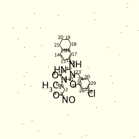 C[C@@H](CC(=O)N=O)N1C(=O)NC(Nc2ccc3c(c2)CCCC3)N(Cc2ccc(Cl)cc2)C1=O